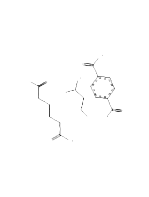 CCCC(O)O.O=C(O)CCCCC(=O)O.O=C(O)c1ccc(C(=O)O)cc1